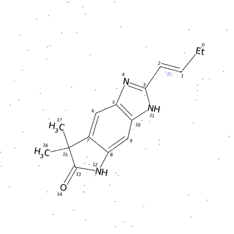 CC/C=C/c1nc2cc3c(cc2[nH]1)NC(=O)C3(C)C